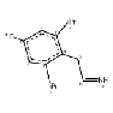 CC(C)c1cc(F)cc(C(C)C)c1CC=N